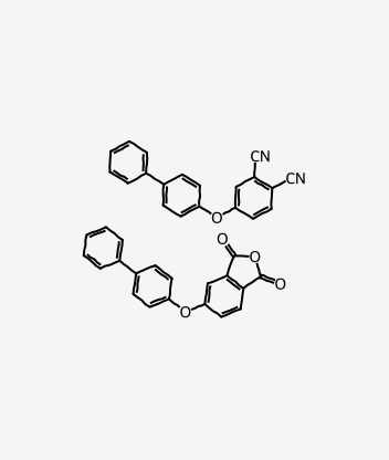 N#Cc1ccc(Oc2ccc(-c3ccccc3)cc2)cc1C#N.O=C1OC(=O)c2cc(Oc3ccc(-c4ccccc4)cc3)ccc21